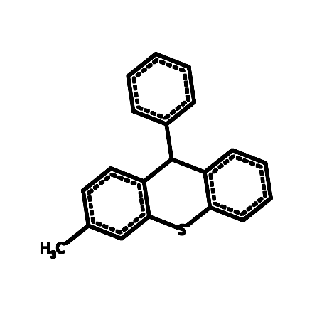 Cc1ccc2c(c1)Sc1ccccc1C2c1ccccc1